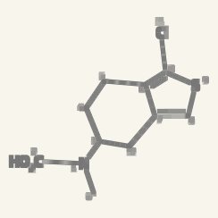 CN(C(=O)O)C1CCc2c(csc2Cl)C1